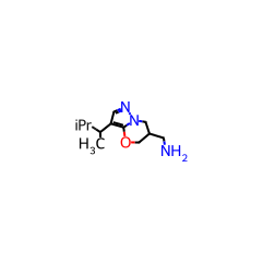 CC(C)C(C)c1cnn2c1OCC(CN)C2